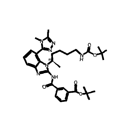 Cc1nnc(-c2cccc3nc(NC(=O)c4cccc(C(=O)OC(C)(C)C)c4)n([C@H](C)CCCCNC(=O)OC(C)(C)C)c23)n1C